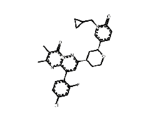 Cc1nc2c(-c3ccc(Cl)cc3F)cc([C@@H]3CCO[C@H](c4ccc(=O)n(CC5CC5)c4)C3)nn2c(=O)c1C